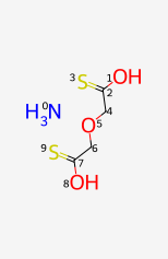 N.OC(=S)COCC(O)=S